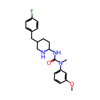 COc1cccc(N(C)C(=O)NC2CCC(Cc3ccc(F)cc3)CN2)c1